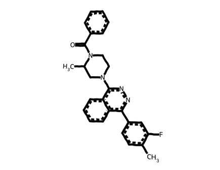 Cc1ccc(-c2nnc(N3CCN(C(=O)c4ccccc4)C(C)C3)c3ccccc23)cc1F